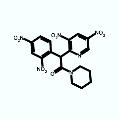 O=C(C(c1ccc([N+](=O)[O-])cc1[N+](=O)[O-])c1ncc([N+](=O)[O-])cc1[N+](=O)[O-])N1CCCCC1